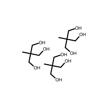 CC(CO)(CO)CO.CC(CO)(CO)CO.CC(CO)(CO)CO